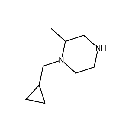 CC1CNCCN1CC1CC1